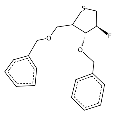 F[C@@H]1CSC(COCc2ccccc2)[C@H]1OCc1ccccc1